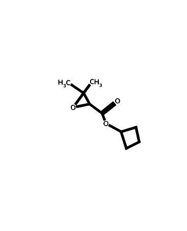 CC1(C)OC1C(=O)OC1CCC1